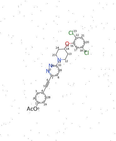 CC(=O)Oc1ccc(C#Cc2ccc(N3CCC(Oc4cc(Cl)ccc4Cl)CC3)nn2)cc1